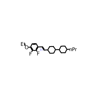 CCCC1CCC(C2CCC(/C=C/c3ccc(OCC)c(F)c3F)CC2)CC1